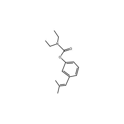 CCN(CC)C(=O)Oc1cccc(C=C(C)C)c1